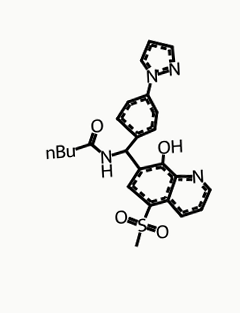 CCCCC(=O)NC(c1ccc(-n2cccn2)cc1)c1cc(S(C)(=O)=O)c2cccnc2c1O